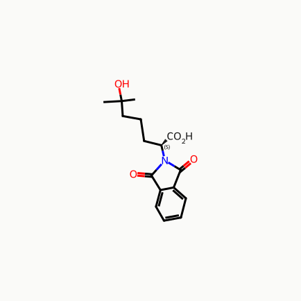 CC(C)(O)CCC[C@@H](C(=O)O)N1C(=O)c2ccccc2C1=O